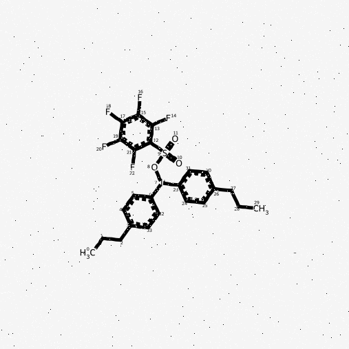 CCCc1ccc([I+](OS(=O)(=O)c2c(F)c(F)c(F)c(F)c2F)c2ccc(CCC)cc2)cc1